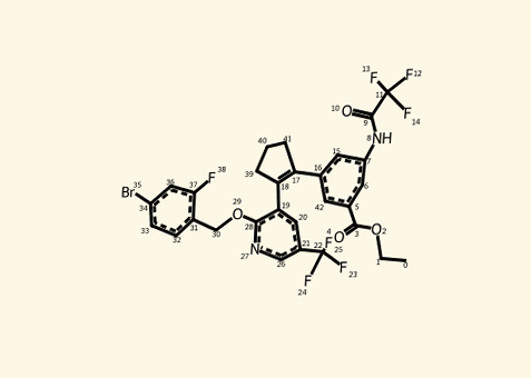 CCOC(=O)c1cc(NC(=O)C(F)(F)F)cc(C2=C(c3cc(C(F)(F)F)cnc3OCc3ccc(Br)cc3F)CCC2)c1